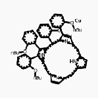 CCCCOc1ccccc1C1=Cc2cc3ccc(cc4nc(cc5[nH]c(c(-c6ccccc6OCCCC)c1n2)c(-c1ccccc1OCCCC)c5-c1ccccc1OCCCC)C=C4)[nH]3.[Cu]